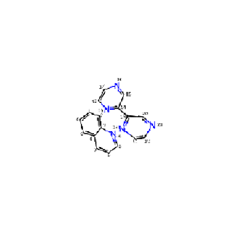 c1ccc2ncccc2c1.c1cnc(-c2cnccn2)cn1